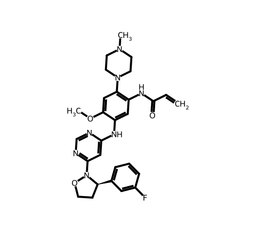 C=CC(=O)Nc1cc(Nc2cc(N3OCC[C@@H]3c3cccc(F)c3)ncn2)c(OC)cc1N1CCN(C)CC1